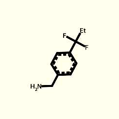 CCC(F)(F)c1ccc(CN)cc1